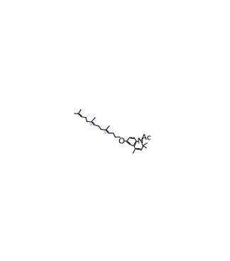 CC(=O)N1c2ccc(OCCC/C=C(\C)CC/C=C(\C)CCC=C(C)C)cc2C(C)=CC1(C)C